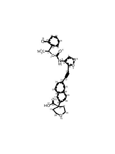 CC(OC(=O)Nc1cnoc1C#Cc1ccc2cc(C3(C(=O)O)CCOCC3)ccc2c1)c1ccccc1Cl